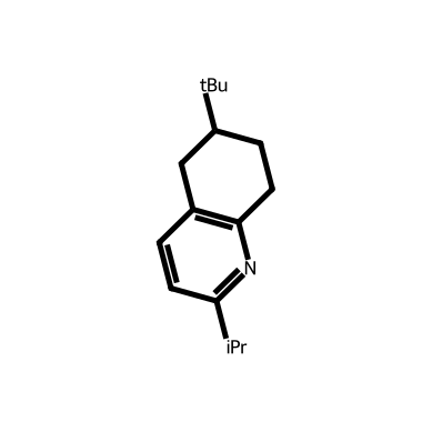 CC(C)c1ccc2c(n1)CCC(C(C)(C)C)C2